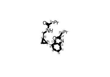 CCCC(=O)NC[C@@H]1C[C@H]1c1cccc2nc(C(C)C)oc12